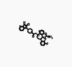 NC(=O)O[C@@H]1c2cccnc2[C@H](CC(=O)N2CCC(n3c(=O)[nH]c4ncccc43)CC2)CC[C@@H]1c1cccc(F)c1F